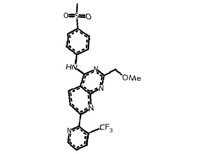 COCc1nc(Nc2ccc(S(C)(=O)=O)cc2)c2ccc(-c3ncccc3C(F)(F)F)nc2n1